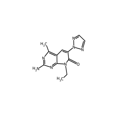 CCn1c(=O)c(-n2nccn2)cc2c(C)nc(N)nc21